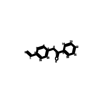 C=Cc1ccc(CC(=O)c2ccccc2)cc1